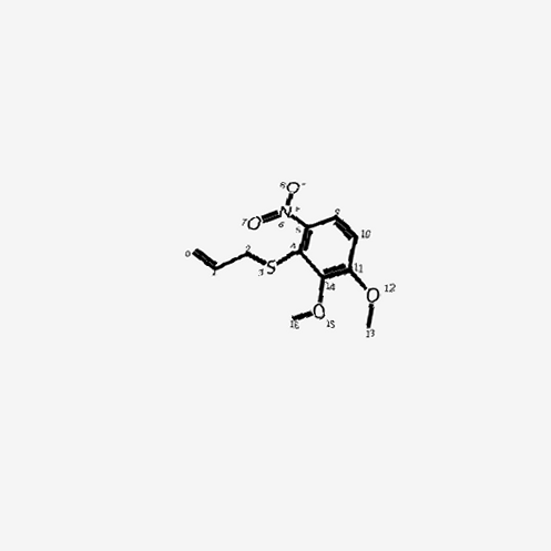 C=CCSc1c([N+](=O)[O-])ccc(OC)c1OC